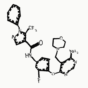 Nc1ncnc(Oc2ccc(NC(=O)c3cnn(-c4ccccc4)c3C(F)(F)F)cc2F)c1CN1CCOCC1